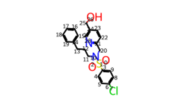 O=S(=O)(c1ccc(Cl)cc1)N(CCCc1ccccc1)Cc1ccc(CO)cn1